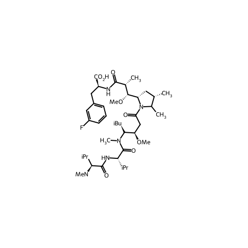 CC[C@H](C)C([C@@H](CC(=O)N1C(C)[C@@H](C)C[C@H]1[C@H](OC)[C@@H](C)C(=O)N[C@@H](Cc1cccc(F)c1)C(=O)O)OC)N(C)C(=O)[C@@H](NC(=O)[C@@H](NC)C(C)C)C(C)C